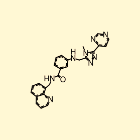 Cn1c(CNc2cccc(C(=O)NCc3cccc4cccnc34)c2)nnc1-c1ccncn1